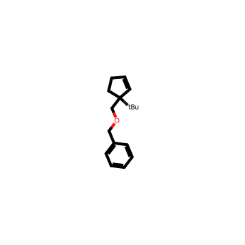 CC(C)(C)C1(COCc2ccccc2)C=CCC1